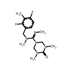 C/N=C(/N(C)Cc1ccc(F)c(C)c1F)N1CN(C)C(=O)N(C)C1